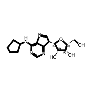 OC[C@H]1O[C@@H](C2C=Nc3c(NC4CCCC4)ncnc32)[C@@H](O)[C@H]1O